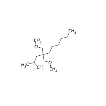 CCCCCCC(COC)(COC)CC(C)C